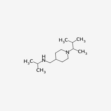 CC(C)NCC1CCN(C(C)C(C)C)CC1